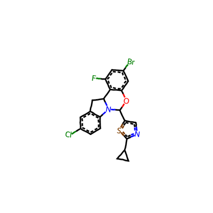 Fc1cc(Br)cc2c1C1Cc3cc(Cl)ccc3N1C(c1cnc(C3CC3)s1)O2